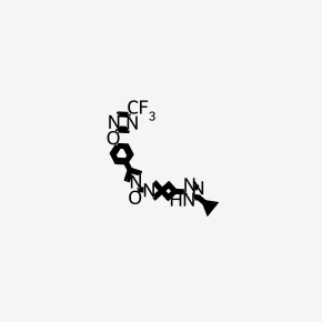 O=C(N1CC(c2ccc(Oc3cnc(C(F)(F)F)cn3)cc2)C1)N1CC2(CC(c3nnc(C4CC4)[nH]3)C2)C1